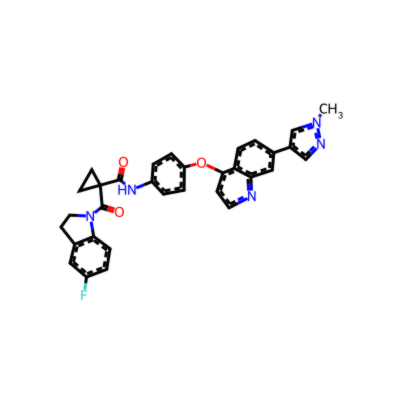 Cn1cc(-c2ccc3c(Oc4ccc(NC(=O)C5(C(=O)N6CCc7cc(F)ccc76)CC5)cc4)ccnc3c2)cn1